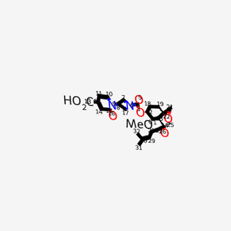 CO[C@@H]1[C@H](OC(=O)N2CC(n3ccc(C(=O)O)cc3=O)C2)CC[C@]2(CO2)[C@H]1[C@@]1(C)OC1CC=C(C)C